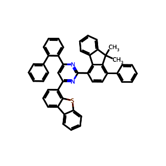 CC1(C)c2ccccc2-c2c(-c3nc(-c4ccccc4-c4ccccc4)cc(-c4cccc5c4sc4ccccc45)n3)ccc(-c3ccccc3)c21